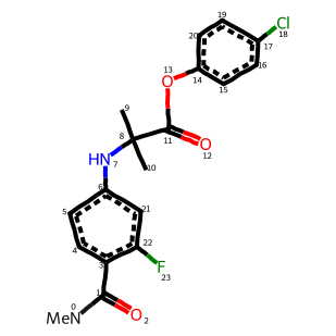 CNC(=O)c1ccc(NC(C)(C)C(=O)Oc2ccc(Cl)cc2)cc1F